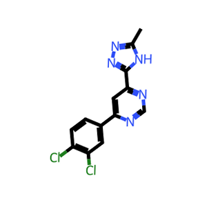 Cc1nnc(-c2cc(-c3ccc(Cl)c(Cl)c3)ncn2)[nH]1